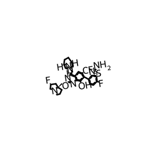 Nc1nc2c(-c3c(C(F)(F)F)cc4c(N5C[C@H]6CC[C@@H](C5)N6)nc(OC[C@@]56CCCN5C[C@H](F)C6)nc4c3O)ccc(F)c2s1